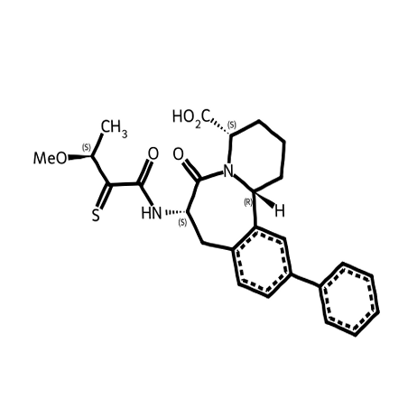 CO[C@@H](C)C(=S)C(=O)N[C@H]1Cc2ccc(-c3ccccc3)cc2[C@H]2CCC[C@@H](C(=O)O)N2C1=O